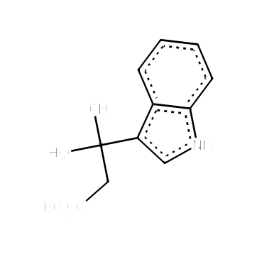 CCOC(=O)CC(C)(O)c1c[nH]c2ccccc12